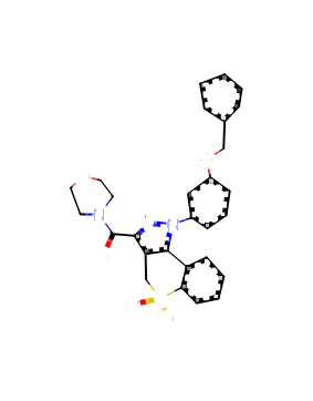 O=C(c1nn(-c2cccc(OCc3ccccc3)c2)c2c1CS(=O)(=O)c1ccccc1-2)N1CCOCC1